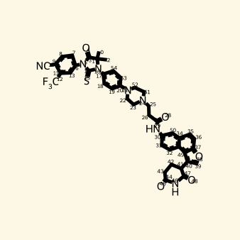 CC1(C)C(=O)N(c2ccc(C#N)c(C(F)(F)F)c2)C(=S)N1c1ccc(N2CCN(CCC(=O)Nc3ccc4c(ccc5occ(C6CCC(=O)NC6=O)c54)c3)CC2)cc1